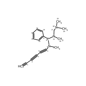 C#CC#CC#CN(C)P(c1ccccc1)N(C)CN(C)C